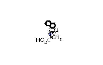 CC(/N=[P+](\[O-])Oc1c(Cl)ccc2ccccc12)C(=O)O